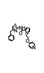 O=C(Nc1nc(Cc2ccccc2)cs1)c1cccn1CCOc1ccncc1